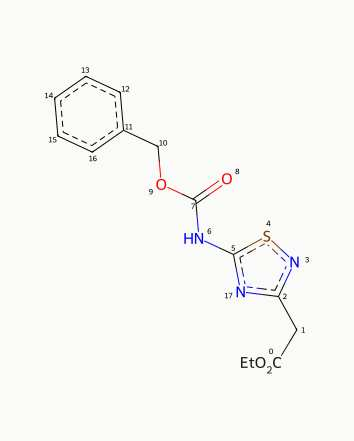 CCOC(=O)Cc1nsc(NC(=O)OCc2ccccc2)n1